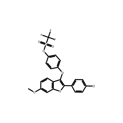 COc1ccc2c(Oc3ccc(OS(=O)(=O)C(F)(F)F)cc3)c(-c3ccc(Cl)cc3)sc2c1